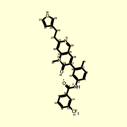 Cc1ccc(NC(=O)c2cccc(C(F)(F)F)c2)cc1-c1cc2cnc(CCc3ccoc3)cc2n(C)c1=O